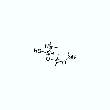 C[SiH](C)O[Si](C)(C)O[SiH](O)[SiH](C)C